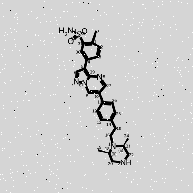 Cc1ccc(-c2cnn3cc(-c4ccc(CCN5[C@H](C)CNC[C@@H]5C)cc4)cnc23)cc1S(N)(=O)=O